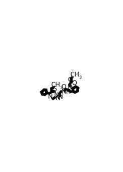 CCOC(=O)Cn1c(C(=O)NCc2nnc3n2-c2sc(C)cc2C(c2ccccc2)=NC3)cc2ccccc21